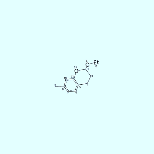 CCOC1CCc2ccc(C)cc2O1